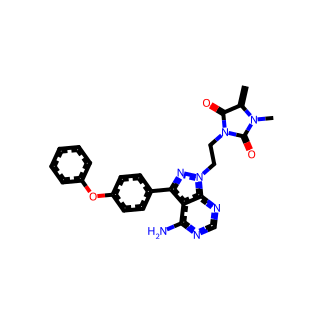 C=C1C(=O)N(CCn2nc(-c3ccc(Oc4ccccc4)cc3)c3c(N)ncnc32)C(=O)N1C